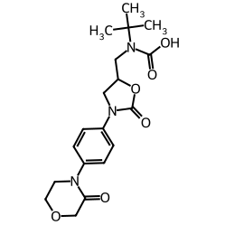 CC(C)(C)N(CC1CN(c2ccc(N3CCOCC3=O)cc2)C(=O)O1)C(=O)O